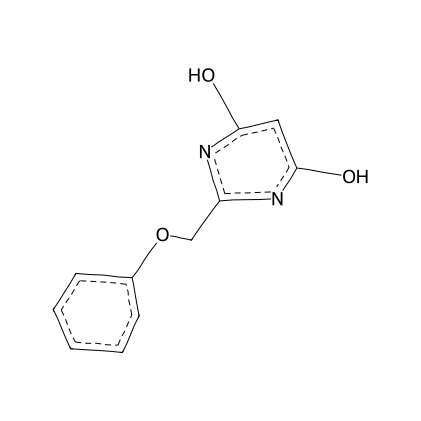 Oc1cc(O)nc(COc2ccccc2)n1